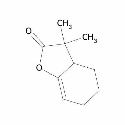 CC1(C)C(=O)OC2=CCCCC21